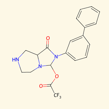 O=C1C2CNCCN2C(OC(=O)C(F)(F)F)N1c1cccc(-c2ccccc2)c1